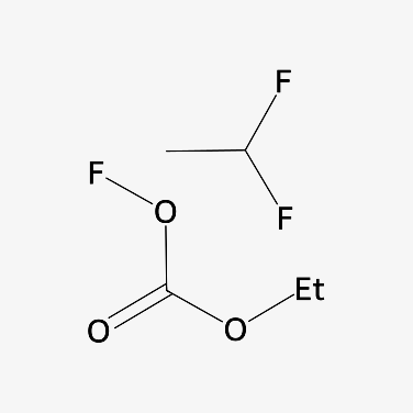 CC(F)F.CCOC(=O)OF